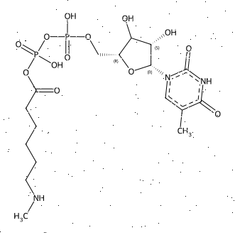 CNCCCCCC(=O)OP(=O)(O)OP(=O)(O)OC[C@H]1O[C@@H](n2cc(C)c(=O)[nH]c2=O)[C@@H](O)C1O